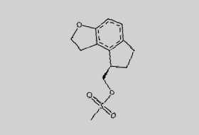 CS(=O)(=O)OC[C@@H]1CCc2ccc3c(c21)CCO3